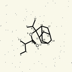 CCC(I)C(=O)OC1(C(C)C)C2CC3CC(C2)CC1C3